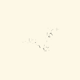 CCCCCCC(C)(O)CC=C[C@H]1[C@H](C)OC(=O)N1CCSc1nc(C(=O)O)cs1